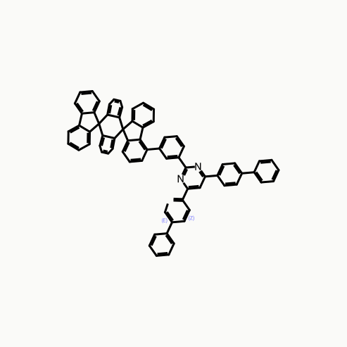 C=C(/C=C\C(=C/C)c1ccccc1)c1cc(-c2ccc(-c3ccccc3)cc2)nc(-c2cccc(-c3cccc4c3-c3ccccc3C43c4ccccc4C4(c5ccccc5-c5ccccc54)c4ccccc43)c2)n1